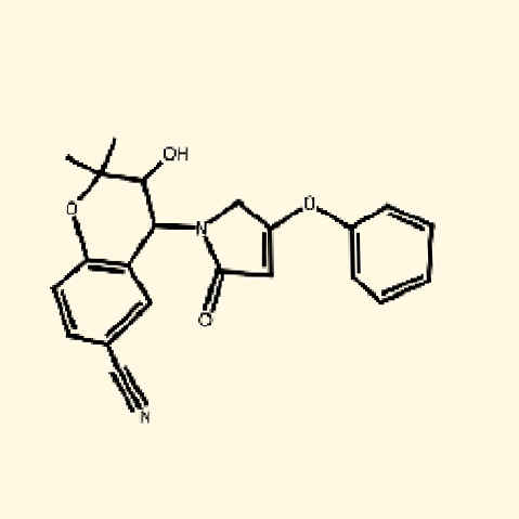 CC1(C)Oc2ccc(C#N)cc2C(N2CC(Oc3ccccc3)=CC2=O)C1O